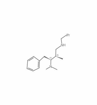 CC(C)CNC[C@@H](C)[C@H](Cc1ccccc1)N(C)C